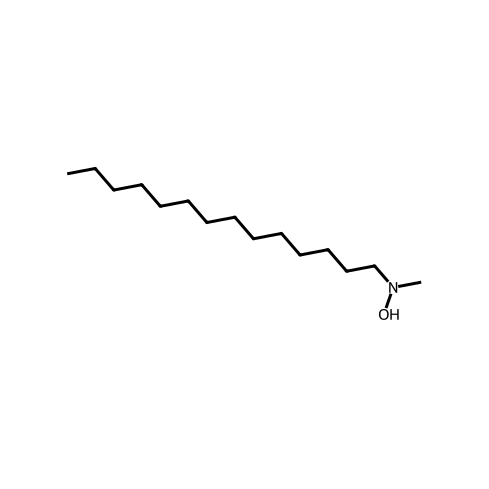 CCCCCCCCCCCCCCN(C)O